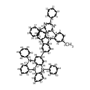 Cc1ccc(-c2nc(-c3ccccc3)nc(-c3ccccc3)n2)c(-n2c3ccccc3c3cc(-c4cc5c6c(c4)N(c4ccccc4)c4ccccc4B6c4ccccc4N5c4ccccc4)ccc32)c1